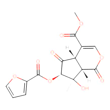 COC(=O)C1=COC(=O)[C@H]2[C@@H]1C(=O)[C@H](OC(=O)c1ccco1)[C@]2(C)O